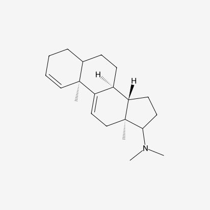 CN(C)C1CC[C@H]2[C@@H]3CCC4CCC=C[C@]4(C)C3=CC[C@]12C